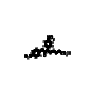 O=C(O)CCCCC(C(=O)Oc1ccc([N+](=O)[O-])cc1)c1ccc([N+](=O)[O-])cc1